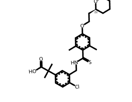 Cc1cc(OCC[C@@H]2CCCCO2)cc(C)c1C(=S)NCc1cc(C(C)(C)C(=O)O)ccc1Cl